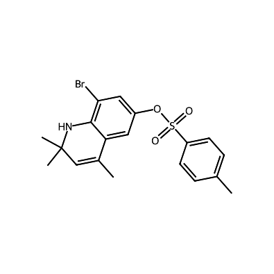 CC1=CC(C)(C)Nc2c(Br)cc(OS(=O)(=O)c3ccc(C)cc3)cc21